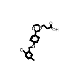 Cc1ccc(Cl)c(COc2ccc(C3CN(CCC(=O)O)CCO3)cc2)c1